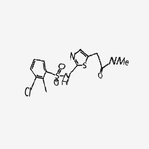 CNC(=O)Cc1cnc(NS(=O)(=O)c2cccc(Cl)c2C)s1